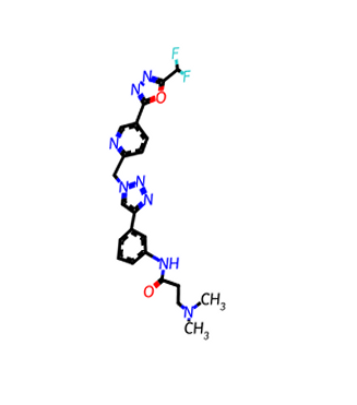 CN(C)CCC(=O)Nc1cccc(-c2cn(Cc3ccc(-c4nnc(C(F)F)o4)cn3)nn2)c1